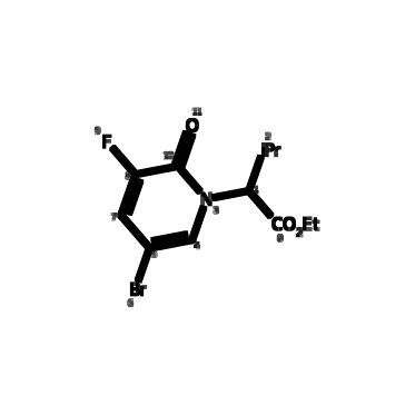 CCOC(=O)C(C(C)C)n1cc(Br)cc(F)c1=O